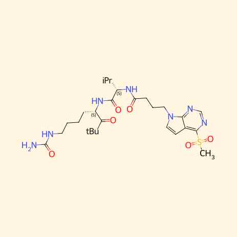 CC(C)[C@H](NC(=O)CCCn1ccc2c(S(C)(=O)=O)ncnc21)C(=O)N[C@@H](CCCCNC(N)=O)C(=O)C(C)(C)C